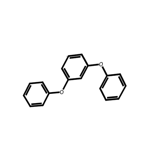 [c]1cc(Oc2ccccc2)cc(Oc2ccccc2)c1